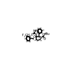 Cc1nnnn1C1(OCc2cccc(C(F)(F)F)c2)CCCN(C(=O)OC(C)(C)C)C1c1ccccc1